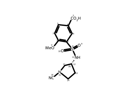 COc1ccc(C(=O)O)cc1S(=O)(=O)N[C@@H]1CCN(C#N)C1